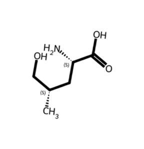 C[C@H](CO)C[C@H](N)C(=O)O